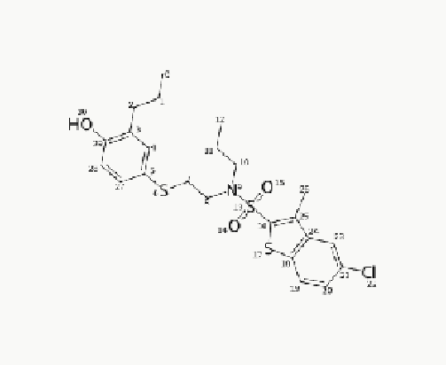 CCCc1cc(SCCN(CCC)S(=O)(=O)c2sc3ccc(Cl)cc3c2C)ccc1O